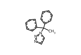 CC(c1ccccc1)(c1ccccc1)n1ccnn1